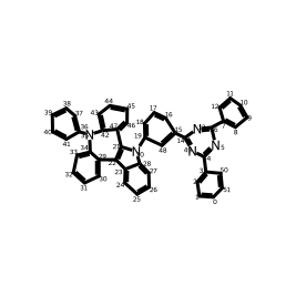 c1ccc(-c2nc(-c3ccccc3)nc(-c3cccc(-n4c5c(c6ccccc64)-c4ccccc4N(c4ccccc4)c4ccccc4-5)c3)n2)cc1